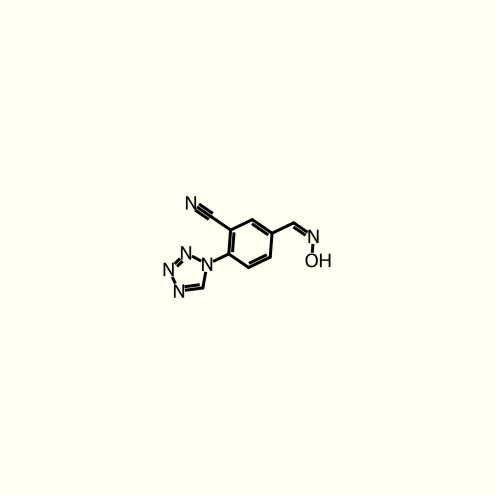 N#Cc1cc(/C=N\O)ccc1-n1cnnn1